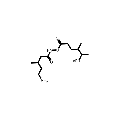 CCCCC(C)C(C)CCC(=O)ONC(=O)CC(C)CCN